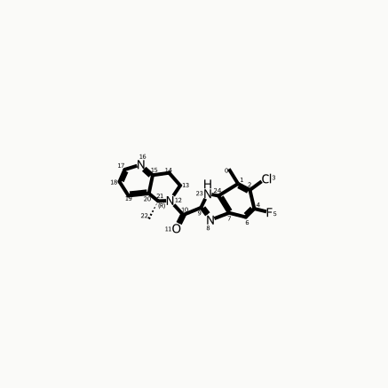 Cc1c(Cl)c(F)cc2nc(C(=O)N3CCc4ncccc4[C@H]3C)[nH]c12